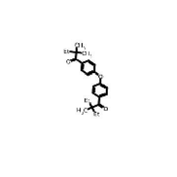 CCC(C)(C)C(=O)c1ccc(Oc2ccc(C(=O)C(C)(CC)CC)cc2)cc1